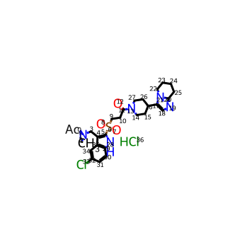 CC(=O)N(C)Cc1c(S(=O)(=O)CCC(=O)N2CCC(c3cnc4n3CCCC4)CC2)[nH]c2ccc(Cl)cc12.Cl